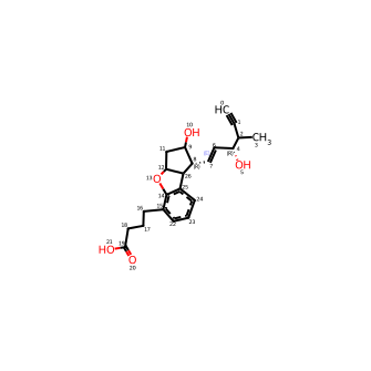 C#CC(C)[C@H](O)/C=C/[C@H]1C(O)CC2Oc3c(CCCC(=O)O)cccc3C21